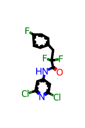 O=C(Nc1cc(Cl)nc(Cl)c1)C(F)(F)Cc1ccc(F)cc1